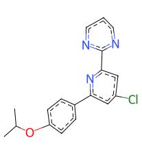 CC(C)Oc1ccc(-c2cc(Cl)cc(-c3ncccn3)n2)cc1